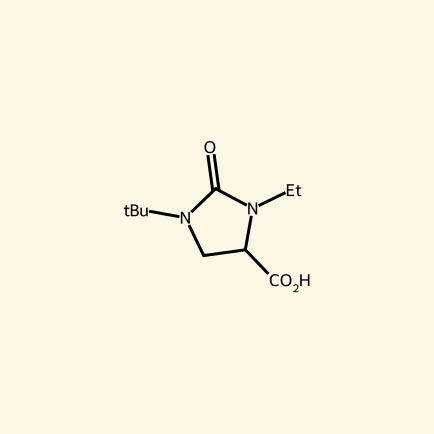 CCN1C(=O)N(C(C)(C)C)CC1C(=O)O